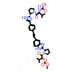 COC(=O)N[C@H](C(=O)N1CCC[C@H]1c1nc(-c2ccc(C#Cc3ccc4[nH]c([C@@H]5CCCN5C(=O)[C@@H](OC(=O)OC)C(C)C)nc4c3)cc2)c[nH]1)C(C)C